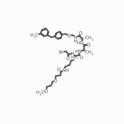 COCCCOCCC(=O)NCCCC[C@H](NC(=O)CBr)C(=O)N[C@@H](C)C(=O)N[C@@H](C)C(=O)NCOCc1ccc(Cc2cccc(C)c2)cc1